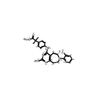 CNC(=O)C(C)(C)c1ccc(Nc2nc(C(C)C)nc3c2CCN(c2ncccc2C(F)(F)F)CC3)cc1